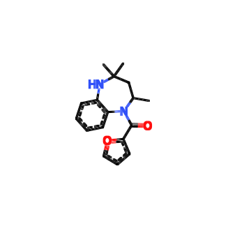 CC1CC(C)(C)Nc2ccccc2N1C(=O)c1ccco1